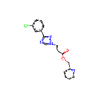 O=C(/C=C/n1cnc(-c2cccc(Cl)c2)n1)OCc1ccccn1